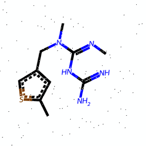 C/N=C(\NC(=N)N)N(C)Cc1csc(C)c1